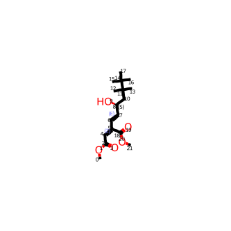 COC(=O)/C=C(/C=C/[C@@H](O)CC(C)(C)C(C)(C)C)C(=O)OC